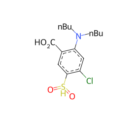 CCCCN(CCCC)c1cc(Cl)c([SH](=O)=O)cc1C(=O)O